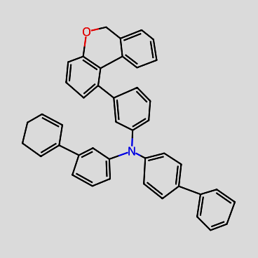 C1=CC(c2cccc(N(c3ccc(-c4ccccc4)cc3)c3cccc(-c4cccc5c4-c4ccccc4CO5)c3)c2)=CCC1